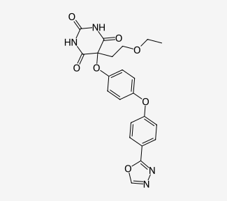 CCOCCC1(Oc2ccc(Oc3ccc(-c4nnco4)cc3)cc2)C(=O)NC(=O)NC1=O